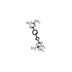 CC(C)OC(=O)C1CC=C(C2CN(C(=O)OC(C)(C)C)C2)CC1